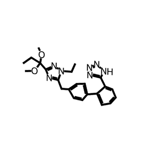 CCn1nc(C(CC)(OC)OC)nc1Cc1ccc(-c2ccccc2-c2nnn[nH]2)cc1